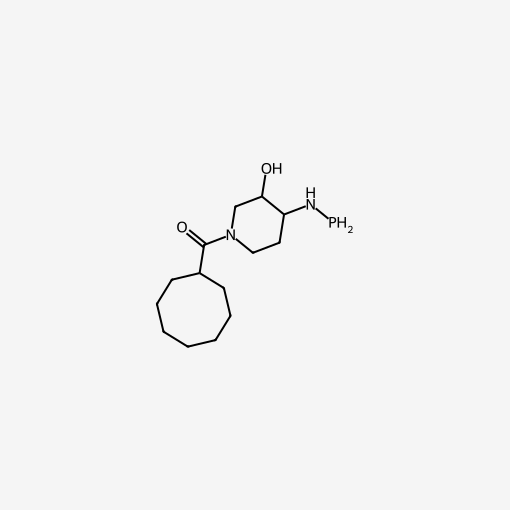 O=C(C1CCCCCCC1)N1CCC(NP)C(O)C1